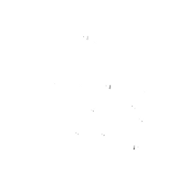 CCC(CO)Nc1nc(Nc2cc(N)cc(Cl)c2)c2c(n1)c(C(C)C)nn2C(C)C